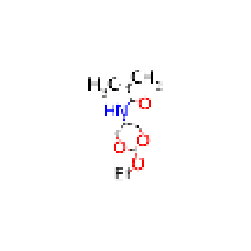 C=C(C)C(=O)NC1COC(OCC)OC1